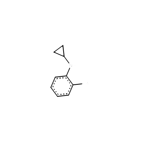 CC(=O)Oc1ccccc1NC1CC1